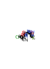 N#Cc1cc(Cl)cc(Oc2c(C(F)(F)F)ncn(Cc3cc(-c4ccc(F)cn4)c(=O)[nH]n3)c2=O)c1